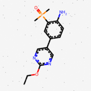 CCOc1ncc(-c2ccc(N)c(P(C)(C)=O)c2)cn1